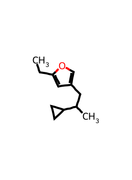 CCc1cc(CC(C)C2CC2)co1